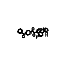 O=C(C(=O)N1CCN(C(=O)c2ccccc2)CC1)c1c[nH]c2c(C3=NCCN3)ccc(F)c12